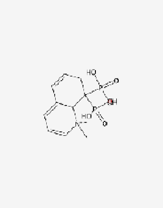 C[N+]1(C)C=CC=C2C=CCC(P(=O)(O)O)(P(=O)(O)O)C21